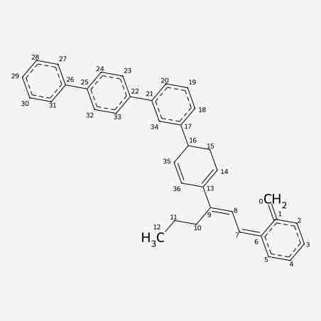 C=c1cccc/c1=C/C=C(\CCC)C1=CCC(c2cccc(-c3ccc(-c4ccccc4)cc3)c2)C=C1